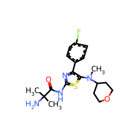 CN(c1sc(NC(=O)C(C)(C)N)nc1-c1ccc(F)cc1)C1CCOCC1